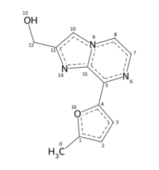 Cc1ccc(-c2nccn3cc(CO)nc23)o1